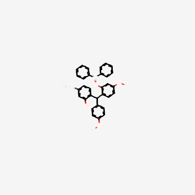 COc1ccc(C(c2ccc(OC(C)(C)C)cc2)c2ccc(OC(C)(C)C)cc2O[SiH](c2ccccc2)c2ccccc2)c(O)c1